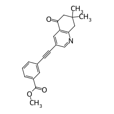 COC(=O)c1cccc(C#Cc2cnc3c(c2)C(=O)CC(C)(C)C3)c1